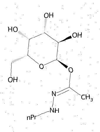 [CH2]CCNN=C(C)O[C@H]1O[C@H](CO)[C@H](O)[C@H](O)[C@H]1O